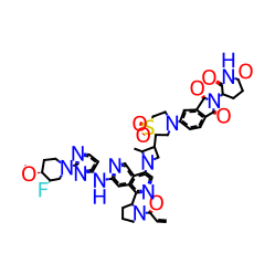 C=CC(=O)N1CCCC1c1ncc(N2CC(C3CN(c4ccc5c(c4)C(=O)N(C4CCC(=O)NC4=O)C5=O)CCS3(=O)=O)C2C)c2cnc(Nc3ccnc(N4CC[C@@H](OC)[C@@H](F)C4)n3)cc12